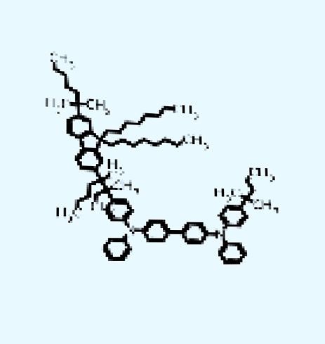 CCCCCCCCC1(CCCCCCCC)c2cc(C(C)(C)CCCCC)ccc2-c2ccc(C(C)(CCCC)C(C)(CC)c3ccc(N(c4ccccc4)c4ccc(-c5ccc(N(c6ccccc6)c6ccc(C(C)(C)CCC)cc6)cc5)cc4)cc3)cc21